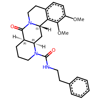 COc1ccc2c(c1OC)[C@@H]1C[C@@H]3[C@@H](CCCN3C(=O)NCCc3ccccc3)C(=O)N1CC2